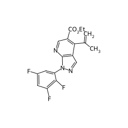 C=C(C)c1c(C(=O)OCC)cnc2c1cnn2-c1cc(F)cc(F)c1F